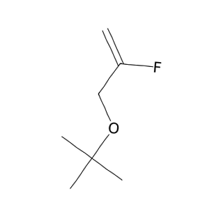 C=C(F)COC(C)(C)C